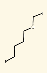 ICCCCOCI